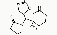 CC1(C(C2CC=NO2)N2CCCC2=O)CCCNC1